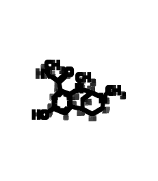 CNC(=O)c1cc(O)cc2c1N(C)C1CC2CCN1C